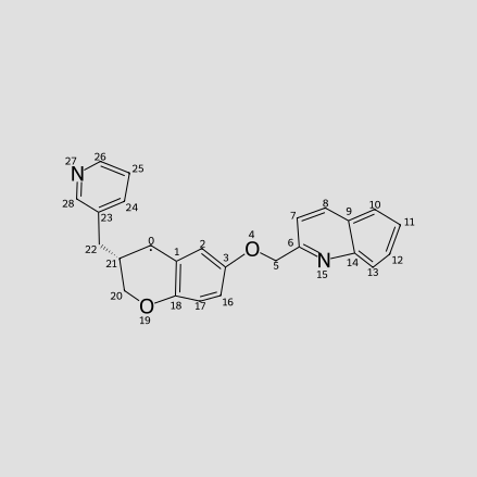 [CH]1c2cc(OCc3ccc4ccccc4n3)ccc2OC[C@@H]1Cc1cccnc1